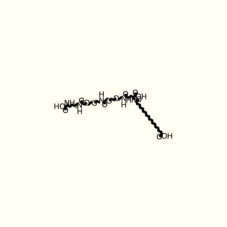 N[C@@H](CCCCNC(=O)COCCOCCNC(=O)COCCOCCNC(=O)CCC(NC(=O)CCCCCCCCCCCCCCCCC(=O)O)C(=O)O)C(=O)O